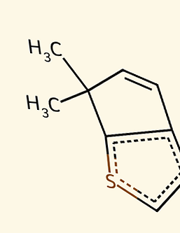 CC1(C)C=Cc2ccsc21